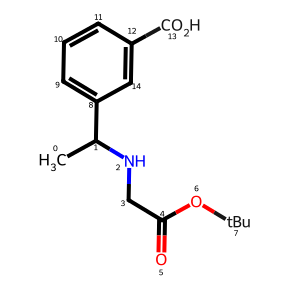 CC(NCC(=O)OC(C)(C)C)c1cccc(C(=O)O)c1